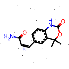 CC1(C)OC(=O)Nc2ccc(/C=C\C(N)=O)cc21